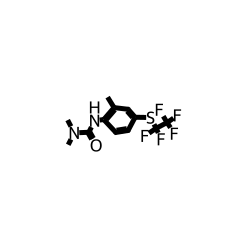 Cc1cc(SC(F)(F)C(F)(F)F)ccc1NC(=O)N(C)C